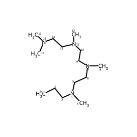 CCCN(C)CCN(C)CCN(C)CCN(C)C